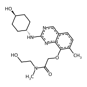 Cc1ccc2cnc(N[C@H]3CC[C@H](O)CC3)nc2c1OCC(=O)N(C)CCO